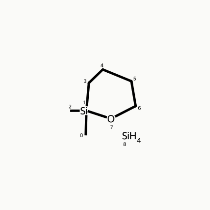 C[Si]1(C)CCCCO1.[SiH4]